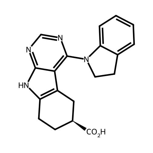 O=C(O)[C@H]1CCc2[nH]c3ncnc(N4CCc5ccccc54)c3c2C1